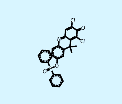 CC1(C)C2=C(Cl)C(=O)C(Cl)=CC2=Nc2ccc(OP(=O)(c3ccccc3)c3ccccc3)cc21